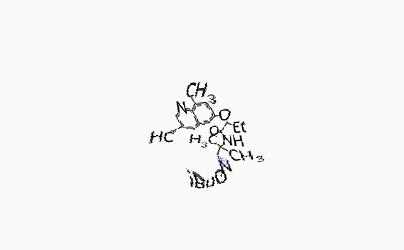 C#Cc1cnc2c(C)cc(OC(CC)C(=O)NC(C)(C)/C=N/OCC(C)C)cc2c1